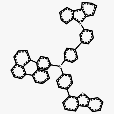 c1ccc(-c2cccc3cccc(-c4ccc(N(c5ccc(-c6cccc(-n7c8ccccc8c8ccccc87)c6)cc5)c5ccc(-c6cccc7c6sc6ccccc67)cc5)cc4)c23)cc1